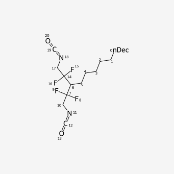 CCCCCCCCCCCCCCCC(C(F)(F)CN=C=O)C(F)(F)CN=C=O